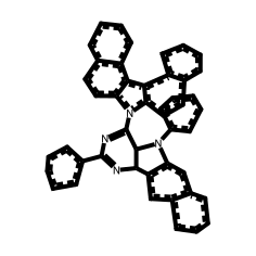 c1ccc(C2=NC3c4cc5ccccc5cc4N(c4ccccc4)C3C(n3c4ccc5ccccc5c4c4c5ccccc5ccc43)=N2)cc1